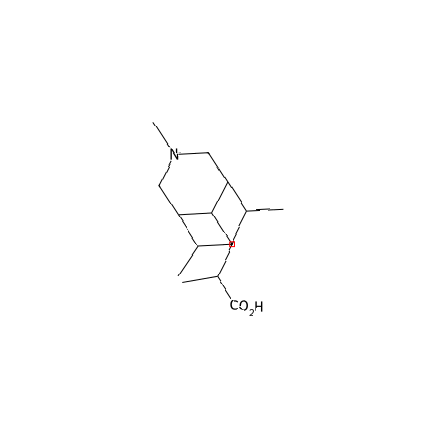 CC(CC1C2CN(C)CC1C(C)CC2C)C(=O)O